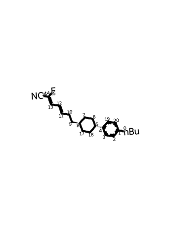 CCCCc1ccc([C@H]2CC[C@H](CCC=CC=C(F)C#N)CC2)cc1